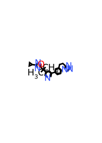 CC(C)(c1cncc(-c2ccc3c(c2)CCc2nncn2-3)c1)c1nc(C2CC2)no1